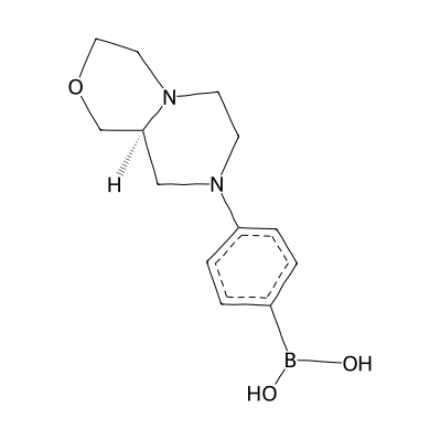 OB(O)c1ccc(N2CCN3CCOC[C@@H]3C2)cc1